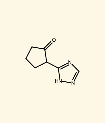 O=C1CCCC1c1ncn[nH]1